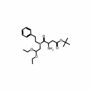 CCOC(CN(CCc1ccccc1)C(=O)C(N)CC(=O)OC(C)(C)C)OCC